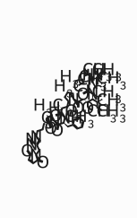 CC[C@H](C)[C@@H]([C@@H](CC(=O)N1CCCC1[C@H](OC)[C@@H](C)C(=O)N[C@@H](Cc1ccccc1)C(=O)NS(=O)(=O)CCCn1cc(CN2C(=O)C=CC2=O)nn1)OC)N(C)C(=O)[C@@H](N=C(N(C)C)N(C)C)C(C)C